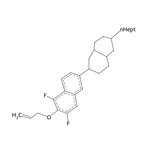 C=CCOc1c(F)cc2cc(C3CCC4CC(CCCCCCC)CCC4C3)ccc2c1F